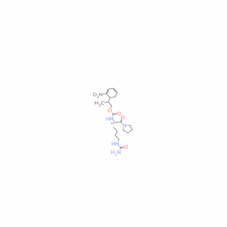 CC(COC(=O)N[C@@H](CCCCNC(N)=O)C(=O)N1CCCC1)C1CC=CC=C1[N+](=O)[O-]